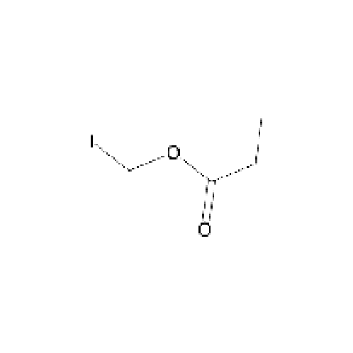 CCC(=O)OCI